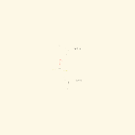 CCCCC(CC)COC(=S)SCC(CC)CCCC